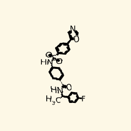 C[C@@H](NC(=O)[C@H]1CC[C@H](NS(=O)(=O)c2ccc(-c3cnco3)cc2)CC1)c1ccc(F)cc1